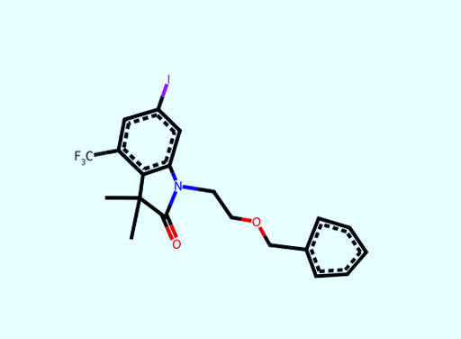 CC1(C)C(=O)N(CCOCc2ccccc2)c2cc(I)cc(C(F)(F)F)c21